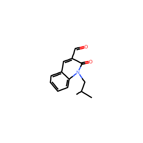 CC(C)Cn1c(=O)c(C=O)cc2ccccc21